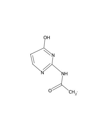 [CH2]C(=O)Nc1nccc(O)n1